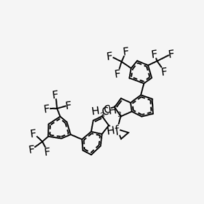 CC1=Cc2c(-c3cc(C(F)(F)F)cc(C(F)(F)F)c3)cccc2[CH]1[Hf]1([CH]2C(C)=Cc3c(-c4cc(C(F)(F)F)cc(C(F)(F)F)c4)cccc32)[CH2][CH2]1